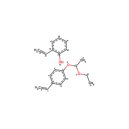 C=Cc1ccc(OC(C)OCC)cc1.C=Cc1ccccc1O